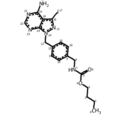 CCCCOC(=O)NCc1ccc(Cn2nc(I)c3c(N)ncnc32)cc1